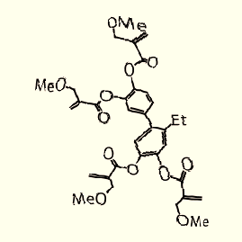 C=C(COC)C(=O)Oc1ccc(-c2cc(OC(=O)C(=C)COC)c(OC(=O)C(=C)COC)cc2CC)cc1OC(=O)C(=C)COC